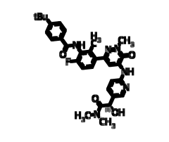 Cc1c(-c2cc(Nc3ccc([C@H](O)C(=O)N(C)C)cn3)c(=O)n(C)n2)ccc(F)c1NC(=O)c1ccc(C(C)(C)C)cc1